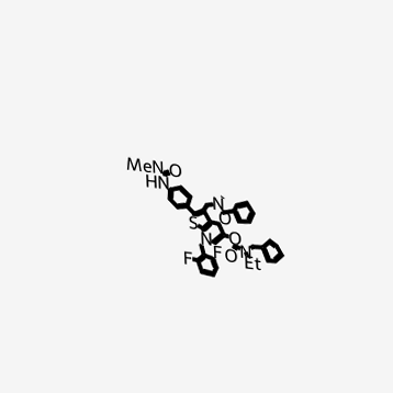 CCN(Cc1ccccc1)C(=O)Oc1cn(Cc2c(F)cccc2F)c2sc(-c3ccc(NC(=O)NC)cc3)c(CN(C)Cc3ccccc3)c2c1=O